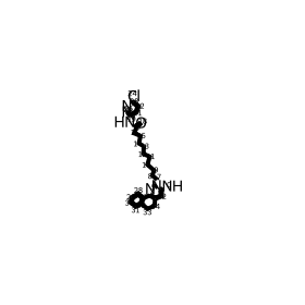 N=c1cc2c(nn1CCCCCCCCCCC(=O)Nc1ccc(Cl)nn1)-c1ccccc1CC2